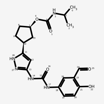 CC(C)NC(=O)O[C@@H]1CC[C@H](c2cc(NC(=O)Nc3ccc(O)c(C=O)c3)n[nH]2)C1